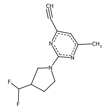 C#Cc1cc(C)nc(N2CCC(C(F)F)C2)n1